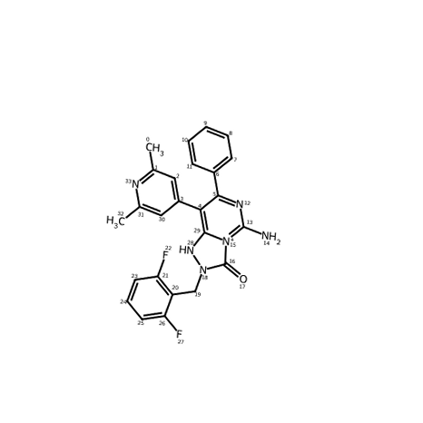 Cc1cc(-c2c(-c3ccccc3)nc(N)[n+]3c(=O)n(Cc4c(F)cccc4F)[nH]c23)cc(C)n1